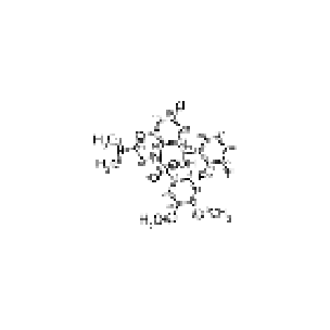 COc1ccc(S(=O)(=O)N(CC(=O)N(C)C)c2ccc(Cl)cc2C(O)c2cccc(F)c2F)cc1OC